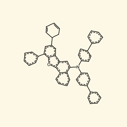 C1=CCC(c2cc(-c3ccccc3)c3oc4c5ccccc5c(N(c5ccc(-c6ccccc6)cc5)c5ccc(-c6ccccc6)cc5)cc4c3c2)C=C1